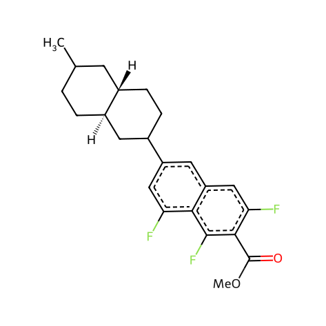 COC(=O)c1c(F)cc2cc(C3CC[C@H]4CC(C)CC[C@@H]4C3)cc(F)c2c1F